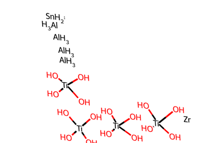 [AlH3].[AlH3].[AlH3].[AlH3].[OH][Ti]([OH])([OH])[OH].[OH][Ti]([OH])([OH])[OH].[OH][Ti]([OH])([OH])[OH].[OH][Ti]([OH])([OH])[OH].[SnH2].[Zr]